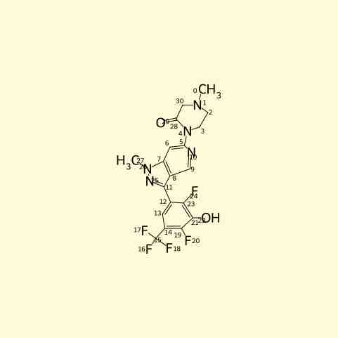 CN1CCN(c2cc3c(cn2)c(-c2cc(C(F)(F)F)c(F)c(O)c2F)nn3C)C(=O)C1